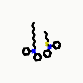 CCCCCCCCCN(c1ccccc1)c1ccccc1.CCCCSN(c1ccccc1)c1ccccc1